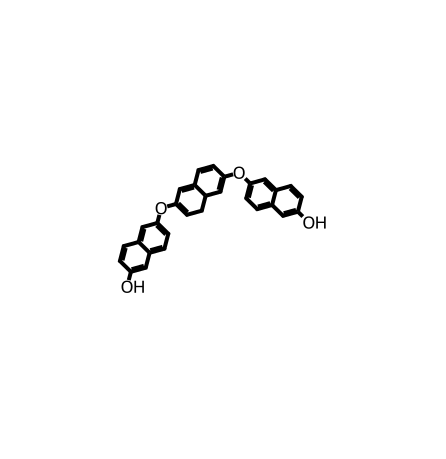 Oc1ccc2cc(OC3=CCC4C=C(Oc5ccc6cc(O)ccc6c5)C=CC4=C3)ccc2c1